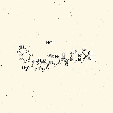 CC(Cc1ccc(-n2ccc(NC(=O)N3CCN(C(=O)C(C)(C)N)CC3)nc2=O)cc1)N(C)C1CCC(CN)CC1.Cl